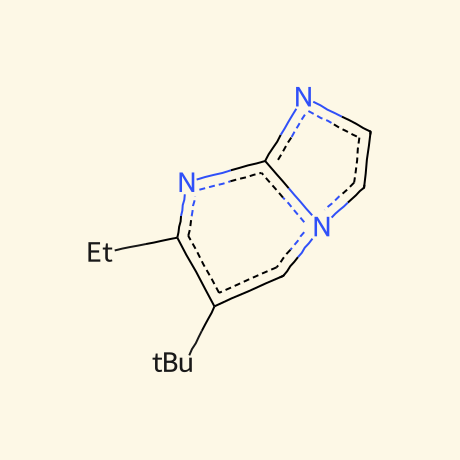 CCc1nc2nccn2cc1C(C)(C)C